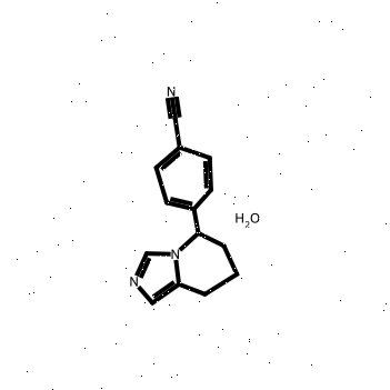 N#Cc1ccc(C2CCCc3cncn32)cc1.O